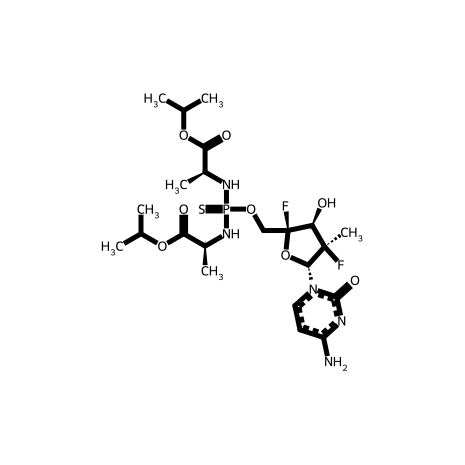 CC(C)OC(=O)[C@H](C)NP(=S)(N[C@@H](C)C(=O)OC(C)C)OC[C@@]1(F)O[C@@H](n2ccc(N)nc2=O)[C@](C)(F)[C@@H]1O